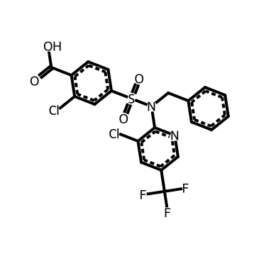 O=C(O)c1ccc(S(=O)(=O)N(Cc2ccccc2)c2ncc(C(F)(F)F)cc2Cl)cc1Cl